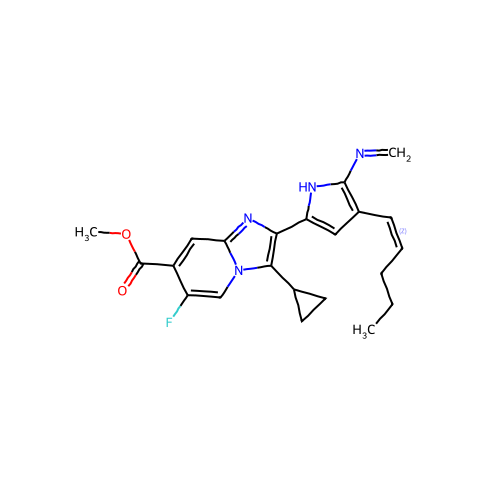 C=Nc1[nH]c(-c2nc3cc(C(=O)OC)c(F)cn3c2C2CC2)cc1/C=C\CCC